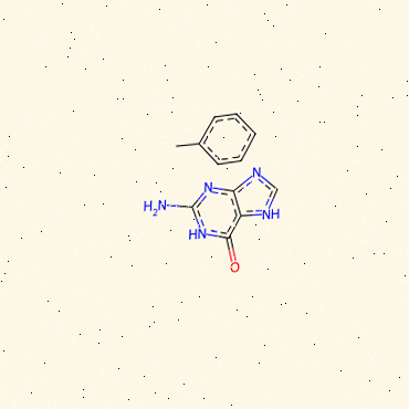 Cc1ccccc1.Nc1nc2nc[nH]c2c(=O)[nH]1